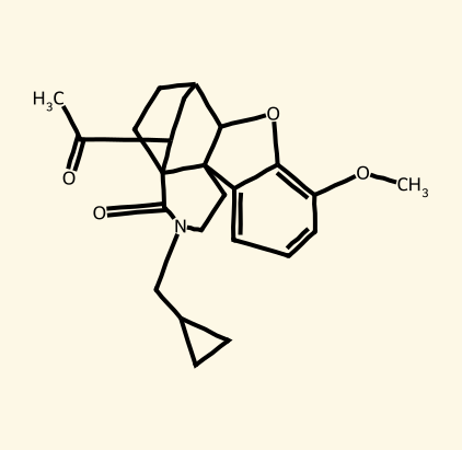 COc1cccc2c1OC1C3CCC4(C(=O)N(CC5CC5)CCC214)C(C(C)=O)C3